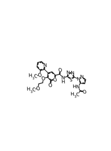 COCCOc1c(-c2ncccc2OC)cc(C(=O)Nc2nnc(-n3nccc3NC(C)=O)s2)oc1=O